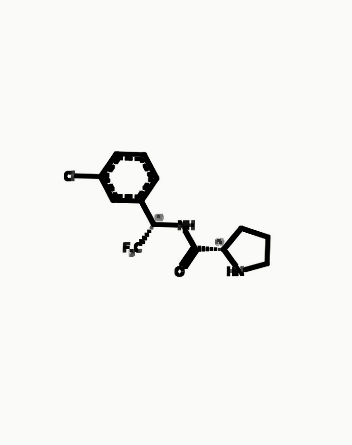 O=C(N[C@@H](c1cccc(Cl)c1)C(F)(F)F)[C@@H]1CCCN1